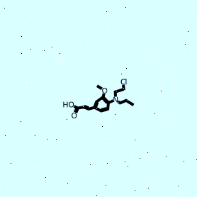 CCCN(CCCl)c1ccc(C=CC(=O)O)cc1OC